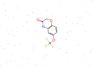 O=C1COc2ccc(OC(F)(F)F)cc2[N]1